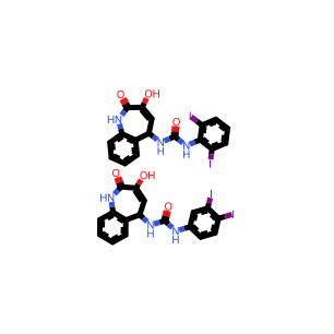 O=C(Nc1c(I)cccc1I)NC1C=C(O)C(=O)Nc2ccccc21.O=C(Nc1ccc(I)c(I)c1)NC1C=C(O)C(=O)Nc2ccccc21